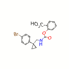 O=C(NCC1(c2ccc(Br)cc2)CC1)Oc1ccccc1C(=O)O